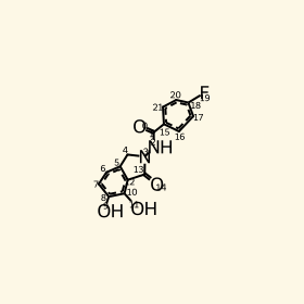 O=C(NN1Cc2ccc(O)c(O)c2C1=O)c1ccc(F)cc1